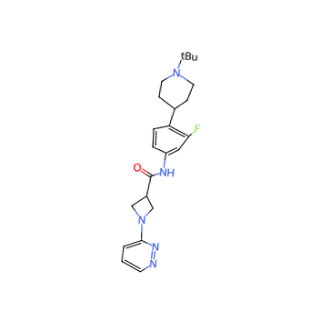 CC(C)(C)N1CCC(c2ccc(NC(=O)C3CN(c4cccnn4)C3)cc2F)CC1